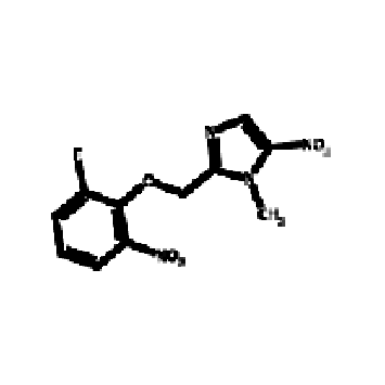 Cn1c([N+](=O)[O-])cnc1COc1c(F)cccc1[N+](=O)[O-]